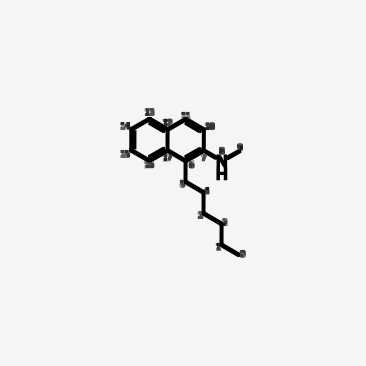 CCCCCCc1c(NC)ccc2ccccc12